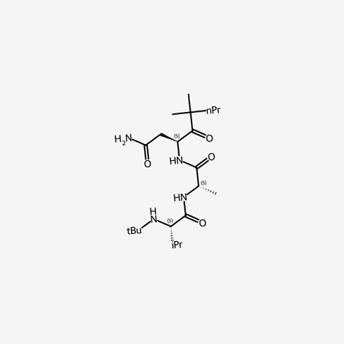 CCCC(C)(C)C(=O)[C@H](CC(N)=O)NC(=O)[C@H](C)NC(=O)[C@@H](NC(C)(C)C)C(C)C